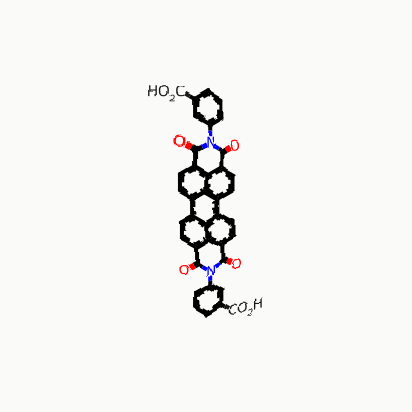 O=C(O)c1cccc(N2C(=O)c3ccc4c5ccc6c7c(ccc(c8ccc(c3c48)C2=O)c75)C(=O)N(c2cccc(C(=O)O)c2)C6=O)c1